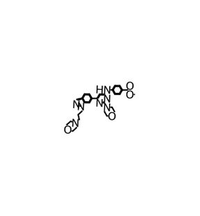 COC(=O)c1ccc(Nc2cc(-c3ccc4cnn(CCCN5CCOCC5)c4c3)nc(N3CCOCC3)n2)cc1